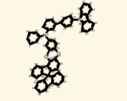 c1ccc(N(c2cccc(-c3ccc(-n4c5ccccc5c5ccccc54)cc3)c2)c2ccc3c(c2)Oc2c(ccc4c2-c2ccccc2C42c4ccccc4-c4ccccc42)O3)cc1